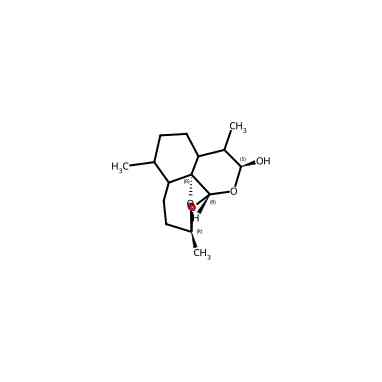 CC1CCC2C(C)[C@@H](O)O[C@@H]3O[C@@]4(C)CCC1[C@@]23OO4